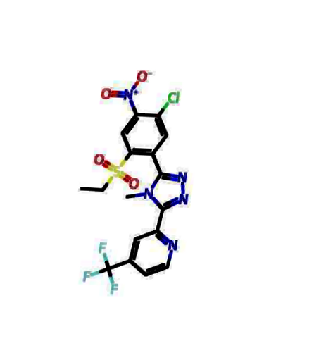 CCS(=O)(=O)c1cc([N+](=O)[O-])c(Cl)cc1-c1nnc(-c2cc(C(F)(F)F)ccn2)n1C